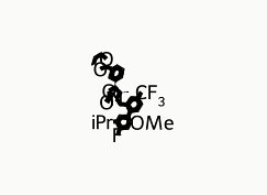 COc1cc(F)c(C(C)C)cc1-c1ccc(C(F)(F)F)cc1CN1C(=O)O[C@H](c2cccc(C3OCCCO3)c2)[C@@H]1C